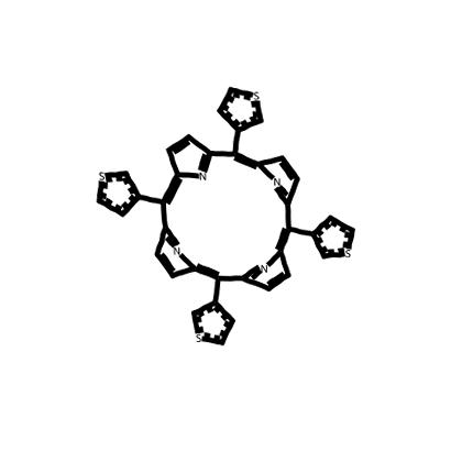 C1=CC2=C(c3ccsc3)C3=NC(=C(c4ccsc4)C4=NC(=C(c5ccsc5)C5=NC(=C(c6ccsc6)C1=N2)C=C5)C=C4)C=C3